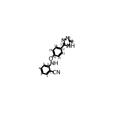 N#Cc1ccccc1NOc1ccc(-c2nnn[nH]2)cc1